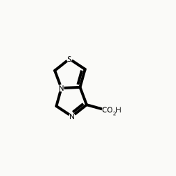 O=C(O)C1=NCN2CSC=C12